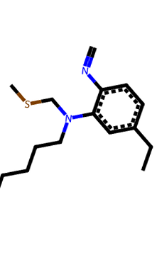 C=Nc1ccc(CC)cc1N(CCCCC)CSC